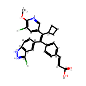 COc1ncc(C(=C(c2ccc(C=CC(=O)O)cc2)c2ccc3[nH]nc(F)c3c2)C2CCC2)cc1F